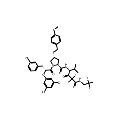 COc1ccc(CS[C@@H]2C[C@@H](C(=O)N[C@H](C(=O)C(F)(F)C(=O)NCC(F)(F)F)C(C)C)N(C(=O)[C@@H](Cc3cccc(Cl)c3)Oc3cc(Cl)cc(Cl)c3)C2)cc1